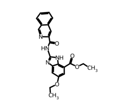 CCOC(=O)c1cc(OCC)cc2nc(NC(=O)c3cc4ccccc4cn3)[nH]c12